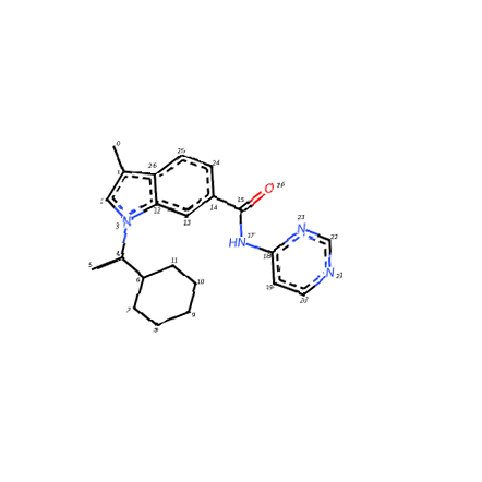 Cc1cn(C(C)C2CCCCC2)c2cc(C(=O)Nc3ccncn3)ccc12